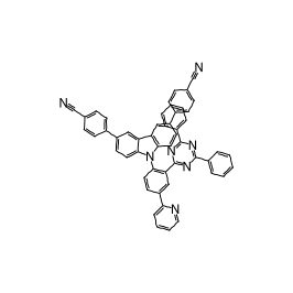 N#Cc1ccc(-c2ccc3c(c2)c2cc(-c4ccc(C#N)cc4)ccc2n3-c2ccc(-c3ccccn3)cc2-c2nc(-c3ccccc3)nc(-c3ccccc3)n2)cc1